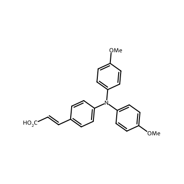 COc1ccc(N(c2ccc(/C=C/C(=O)O)cc2)c2ccc(OC)cc2)cc1